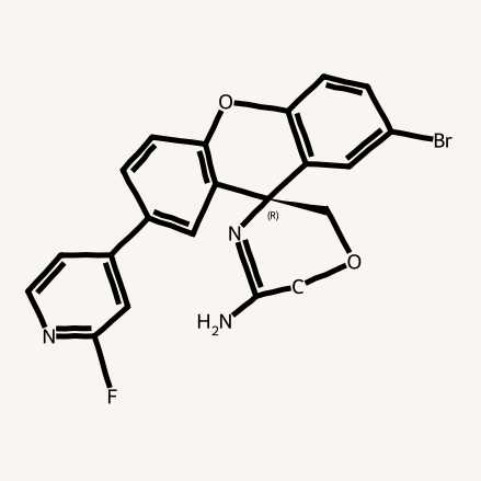 NC1=N[C@@]2(COC1)c1cc(Br)ccc1Oc1ccc(-c3ccnc(F)c3)cc12